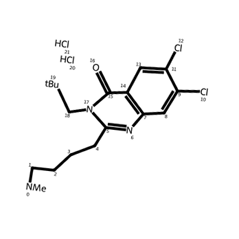 CNCCCCc1nc2cc(Cl)c(Cl)cc2c(=O)n1CC(C)(C)C.Cl.Cl